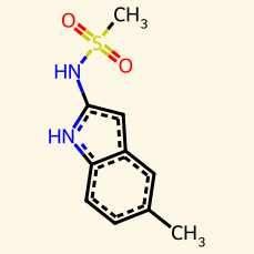 Cc1ccc2[nH]c(NS(C)(=O)=O)cc2c1